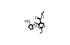 CCOC(=O)c1cnc(SC)nc1N[C@H]1CCC[C@@H]1O